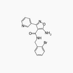 Nc1onc(-c2cccnc2)c1C(=O)NCc1ccccc1Br